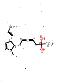 CCCCCCCCC=C[C@H]1C=C[C@H](C)[C@H]1CC=C=CCC(O)(O)C(=O)O